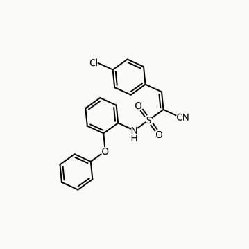 N#CC(=Cc1ccc(Cl)cc1)S(=O)(=O)Nc1ccccc1Oc1ccccc1